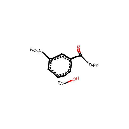 CCO.COC(=O)c1cccc(C(=O)O)c1